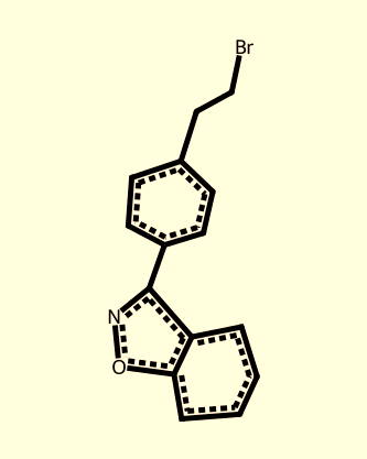 BrCCc1ccc(-c2noc3ccccc23)cc1